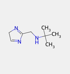 CC(C)(C)NCC1=NCC=N1